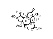 CC[C@H](C)C(=O)O[C@H]1C[C@](C)(OC(C)=O)[C@H]2C[C@@H](O)C(C)=C2[C@@H]2OC(=O)[C@@](C)(O)[C@@]12O